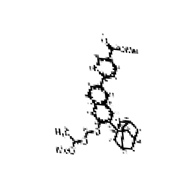 COC(=O)c1ccc(-c2ccc3cc(OCOC(C)OC)c(C45CC6CC(CC(C6)C4)C5)cc3c2)nc1